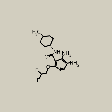 Nc1cnc(OCC(F)F)c(C(=O)N[C@H]2CC[C@H](C(F)(F)F)CC2)c1N